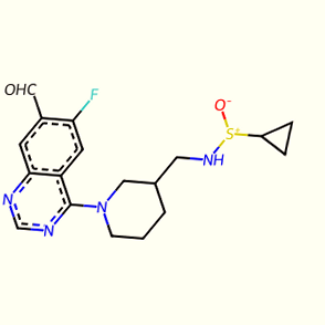 O=Cc1cc2ncnc(N3CCCC(CN[S+]([O-])C4CC4)C3)c2cc1F